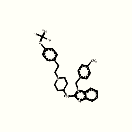 [3H]C([3H])([3H])Oc1ccc(CCN2CCC(Nc3nc4ccccc4n3Cc3ccc(C)cc3)CC2)cc1